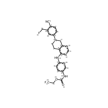 N#Cc1ccc(N2CCc3c(ncnc3Nc3ccc(NC(=O)OCC(F)(F)F)cn3)C2)cc1CF